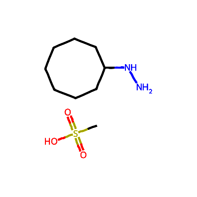 CS(=O)(=O)O.NNC1CCCCCCC1